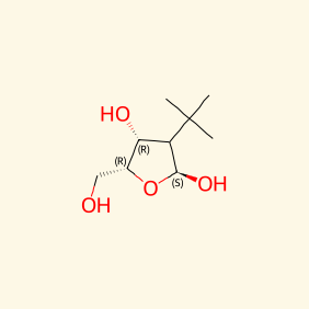 CC(C)(C)C1[C@@H](O)[C@@H](CO)O[C@@H]1O